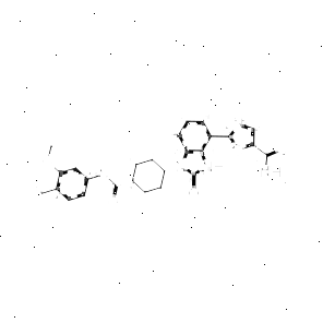 COc1cc(NC(=O)[C@H]2CC[C@@H](n3c(=O)[nH]c4c(-c5ncc(C(N)=O)o5)cccc43)CC2)ccc1C